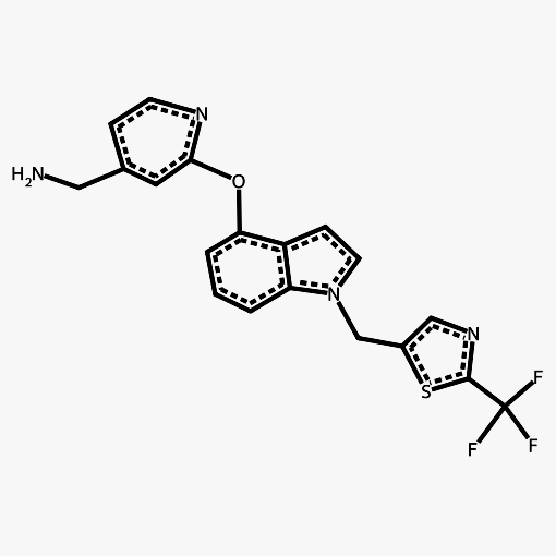 NCc1ccnc(Oc2cccc3c2ccn3Cc2cnc(C(F)(F)F)s2)c1